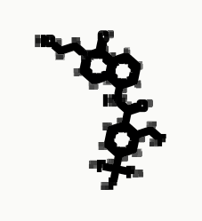 O=C(Nc1cccc2c(=O)n(CCO)ccc12)c1ccc(C(F)(F)F)cc1CF